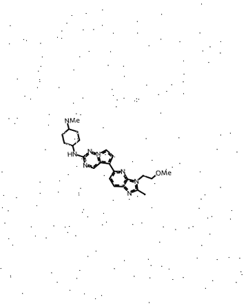 CNC1CCC(Nc2ncc3c(-c4ccc5nc(C)n(CCOC)c5n4)ccn3n2)CC1